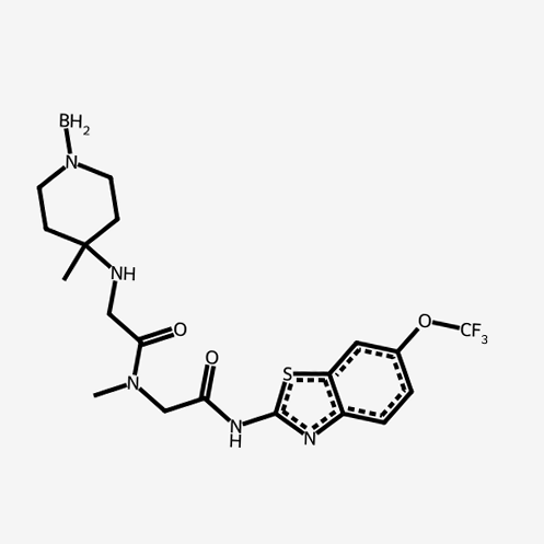 BN1CCC(C)(NCC(=O)N(C)CC(=O)Nc2nc3ccc(OC(F)(F)F)cc3s2)CC1